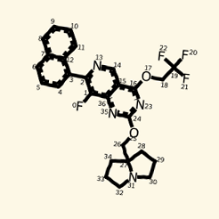 Fc1c(-c2cccc3ccccc23)ncc2c(OCC(F)(F)F)nc(OCC34CCCN3CCC4)nc12